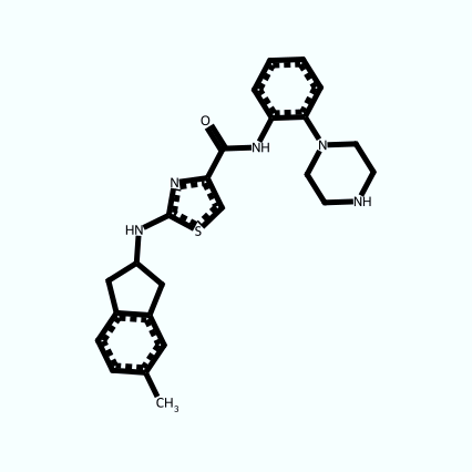 Cc1ccc2c(c1)CC(Nc1nc(C(=O)Nc3ccccc3N3CCNCC3)cs1)C2